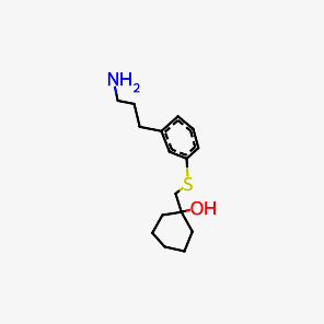 NCCCc1cccc(SCC2(O)CCCCC2)c1